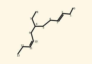 CCC=CCCC(CC)C/C=C\CC